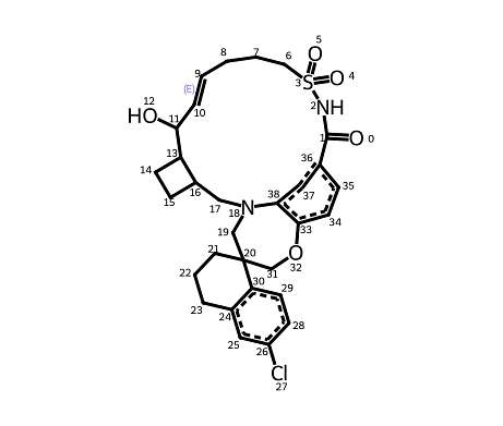 O=C1NS(=O)(=O)CCC/C=C/C(O)C2CCC2CN2CC3(CCCc4cc(Cl)ccc43)COc3ccc1cc32